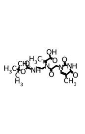 Cc1cn(CC(=O)N(CCNC(=O)OC(C)(C)C)[C@H](C)C(=O)O)c(=O)[nH]c1=O